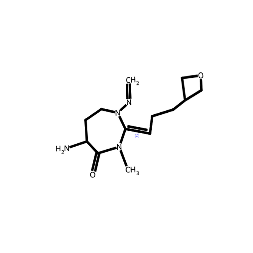 C=NN1CCC(N)C(=O)N(C)/C1=C/CCC1COC1